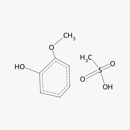 COc1ccccc1O.CS(=O)(=O)O